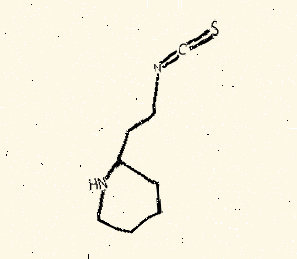 S=C=NCCC1CCCCN1